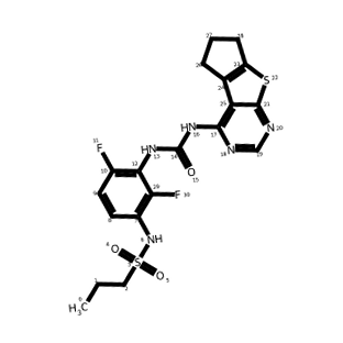 CCCS(=O)(=O)Nc1ccc(F)c(NC(=O)Nc2ncnc3sc4c(c23)CCC4)c1F